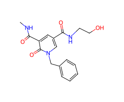 CNC(=O)c1cc(C(=O)NCCO)cn(Cc2ccccc2)c1=O